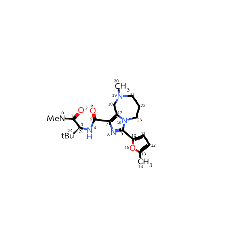 CNC(=O)[C@@H](NC(=O)c1nc(-c2ccc(C)o2)n2c1CN(C)CCC2)C(C)(C)C